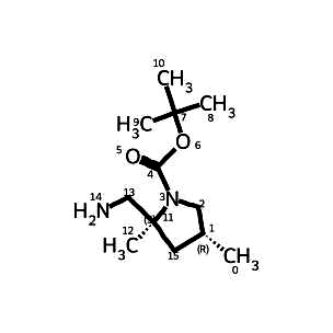 C[C@H]1CN(C(=O)OC(C)(C)C)[C@](C)(CN)C1